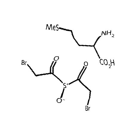 CSCCC(N)C(=O)O.O=C(CBr)[S+]([O-])C(=O)CBr